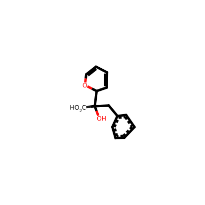 O=C(O)C(O)(Cc1ccccc1)C1C=CC=CO1